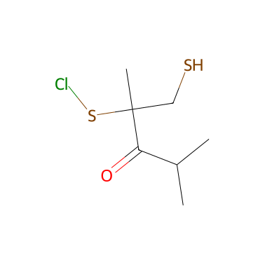 CC(C)C(=O)C(C)(CS)SCl